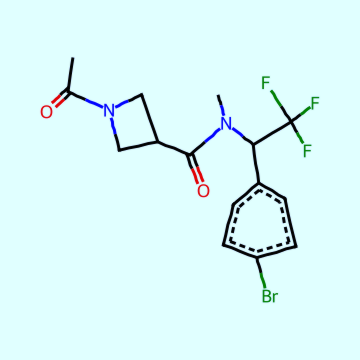 CC(=O)N1CC(C(=O)N(C)C(c2ccc(Br)cc2)C(F)(F)F)C1